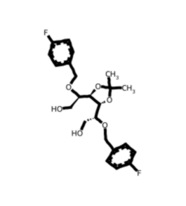 CC1(C)O[C@H]([C@@H](CO)OCc2ccc(F)cc2)[C@@H]([C@@H](CO)OCc2ccc(F)cc2)O1